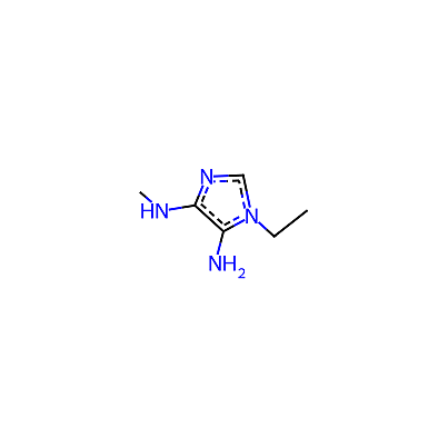 CCn1cnc(NC)c1N